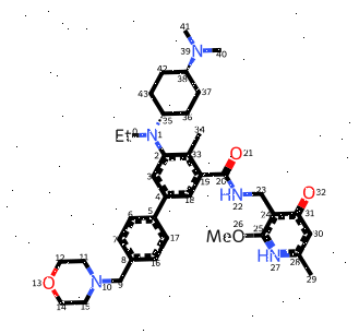 CCN(c1cc(-c2ccc(CN3CCOCC3)cc2)cc(C(=O)NCc2c(OC)[nH]c(C)cc2=O)c1C)[C@H]1CC[C@H](N(C)C)CC1